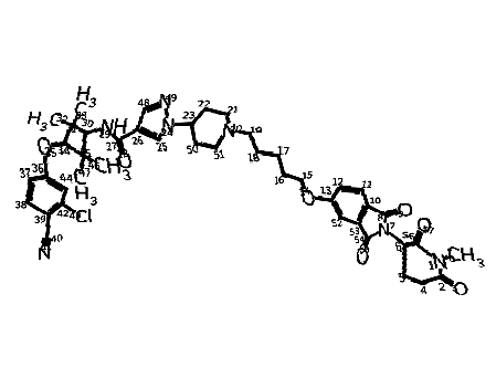 CN1C(=O)CCC(N2C(=O)c3ccc(OCCCCCN4CCC(n5cc(C(=O)NC6C(C)(C)C(Oc7ccc(C#N)c(Cl)c7)C6(C)C)cn5)CC4)cc3C2=O)C1=O